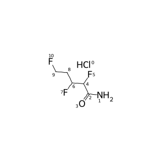 Cl.NC(=O)C(F)C(F)CCF